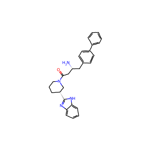 N[C@@H](CC(=O)N1CCC[C@@H](c2nc3ccccc3[nH]2)C1)Cc1ccc(-c2ccccc2)cc1